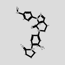 CCOc1ccc(-n2ncc3c2C(=O)N(c2ccc(N4CCCC4=O)c(C)c2)CC3)cc1